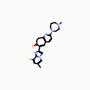 Cc1cc(F)c2nc(C3=Cc4ccc(N5CCCN(C)CC5)nc4CCC3=O)cn2c1